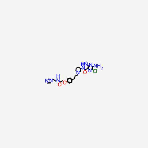 CNc1nc(N)c(Cl)nc1C(=O)NC1CCCN(CCCc2ccc(OCC(=O)NCCn3ccnc3)cc2)C1